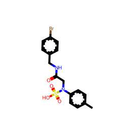 Cc1ccc(N(CC(=O)NCc2ccc(Br)cc2)S(=O)(=O)O)cc1